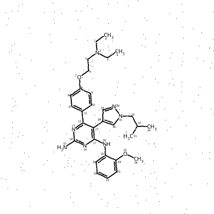 CCN(CC)CCOc1ccc(-c2nc(N)nc(Nc3ccccc3OC)c2-c2cnn(CC(C)C)c2)cc1